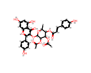 CC(=O)OC1C(Oc2c(-c3ccc(O)cc3)oc3cc(O)cc(O)c3c2=O)OC(C)C(OC(=O)/C=C/c2ccc(O)cc2)C1OC(C)=O